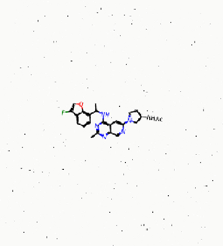 CC(=O)N[C@@H]1CCN(c2cc3c(NC(C)c4cccc5c(F)coc45)nc(C)nc3cn2)C1